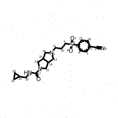 N#Cc1ccc(S(=O)(=O)CCCN2CC3CN(C(=O)NCC4CC4)CC3C2)cc1